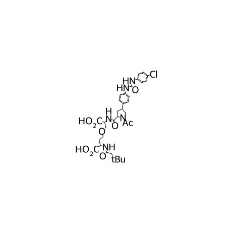 CC(=O)N1CC(c2ccc(NC(=O)Nc3ccc(Cl)cc3)cc2)CC1C(=O)NC(COCCC(NC(=O)CC(C)(C)C)C(=O)O)C(=O)O